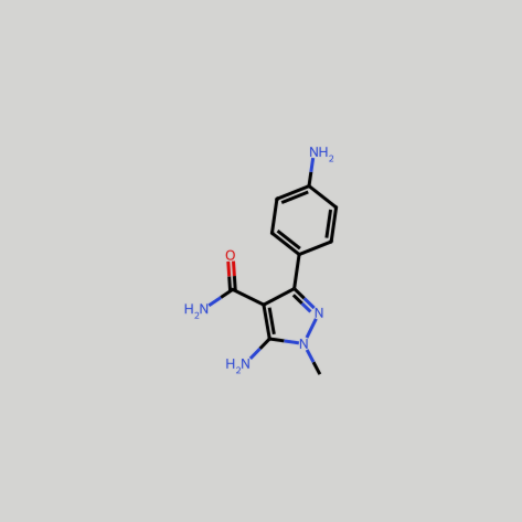 Cn1nc(-c2ccc(N)cc2)c(C(N)=O)c1N